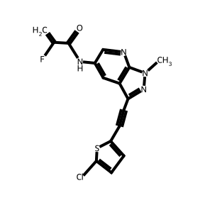 C=C(F)C(=O)Nc1cnc2c(c1)c(C#Cc1ccc(Cl)s1)nn2C